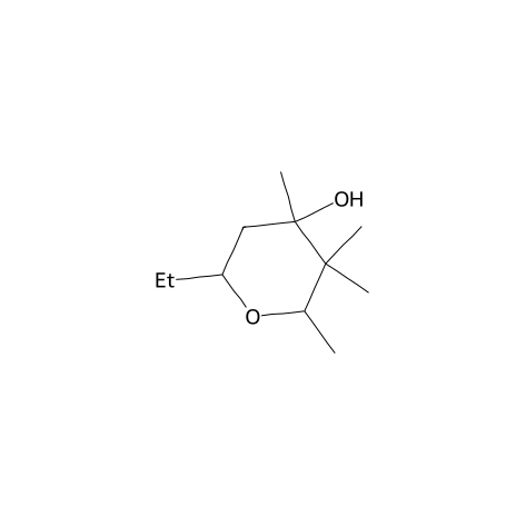 CCC1CC(C)(O)C(C)(C)C(C)O1